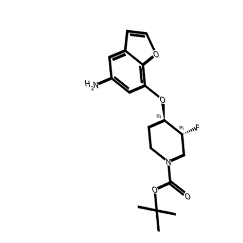 CC(C)(C)OC(=O)N1CC[C@@H](Oc2cc(N)cc3ccoc23)[C@H](F)C1